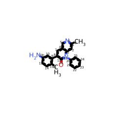 Cc1cc2c(cn1)cc(-c1cc(N)ccc1C)c(=O)n2-c1ccccc1